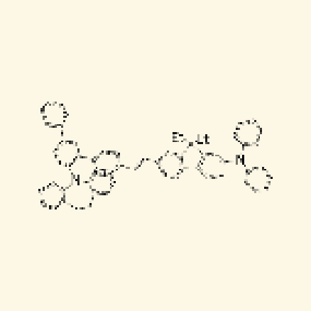 CCC1(CC)c2cc(/C=C/c3ccc(-c4cc(-c5ccccc5)ccc4N4c5ccccc5CCc5ccccc54)cc3)ccc2-c2ccc(N(c3ccccc3)c3ccccc3)cc21